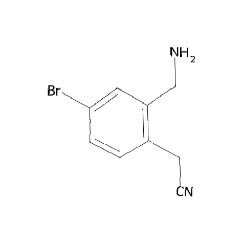 N#CCc1ccc(Br)cc1CN